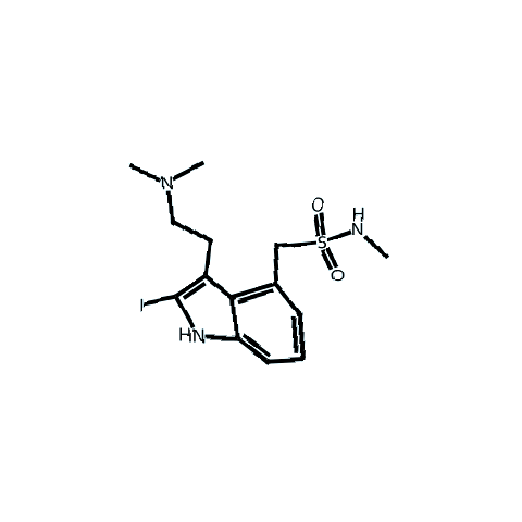 CNS(=O)(=O)Cc1cccc2[nH]c(I)c(CCN(C)C)c12